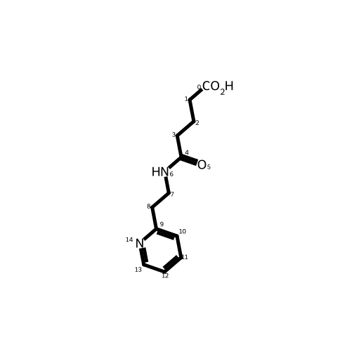 O=C(O)CCCC(=O)NCCc1ccccn1